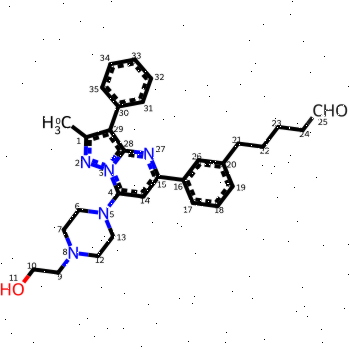 Cc1nn2c(N3CCN(CCO)CC3)cc(-c3cccc(CCCCC=O)c3)nc2c1-c1ccccc1